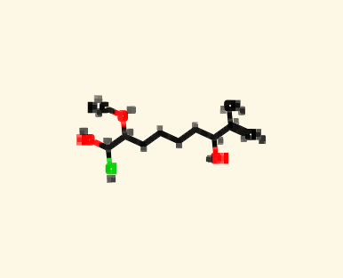 C=C(C)C(O)CCCCC(OC)C(O)Cl